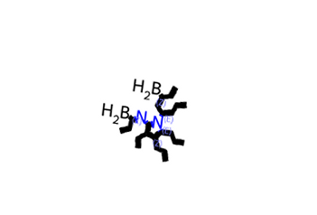 B/C(C=C)=C/C(=C\C=C)n1c(/N=C(/B)C=C)c(C=C)c(=C/C=C)/c1=C\C=C